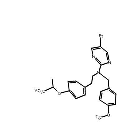 CCc1cnc(N(CCc2ccc(OC(C)C(=O)O)cc2)Cc2ccc(OC(F)(F)F)cc2)nc1